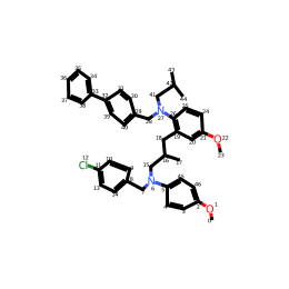 COc1ccc(N(Cc2ccc(Cl)cc2)CC(C)Cc2cc(OC)ccc2N(Cc2ccc(-c3ccccc3)cc2)CC(C)C)cc1